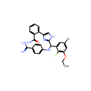 CCc1cc(OCOC)c(F)c(C(Nc2ccc(C(=N)N)cc2)c2nc(-c3ccccc3C(N)=O)c[nH]2)c1